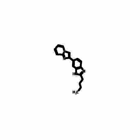 CCCCc1nc2ccc(-c3cn4ccccc4n3)cc2[nH]1